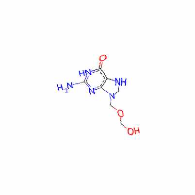 Nc1nc2c(c(=O)[nH]1)NCN2COCO